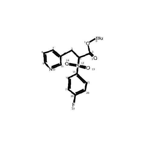 CC(C)(C)OC(=O)C(Cc1cccnc1)S(=O)(=O)c1ccc(F)cc1